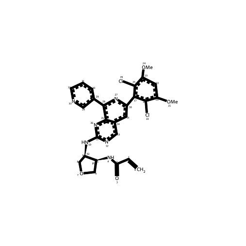 C=CC(=O)N[C@H]1COC[C@H]1Nc1ncc2cc(-c3c(Cl)c(OC)cc(OC)c3Cl)nc(-c3cccnc3)c2n1